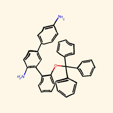 Nc1ccc(-c2ccc(N)c(-c3ccccc3OC(c3ccccc3)(c3ccccc3)c3ccccc3)c2)cc1